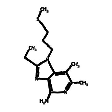 CCc1nc2c(N)nc(C)c(C)c2n1CCCSC